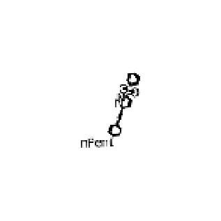 CCCCCc1ccc(C#Cc2ccc(S(=O)(=O)c3ccccc3)nn2)cc1